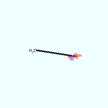 CCCCCCCCCCCCCCCCCCCCCCCCCCCCC(O)CNCCS(=O)(=O)O